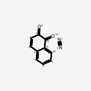 N#N.O=C1C=Cc2ccccc2C1=O